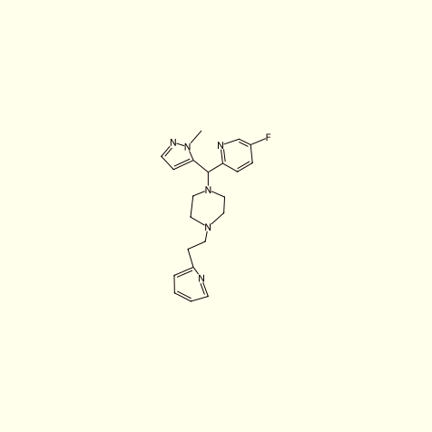 Cn1nccc1C(c1ccc(F)cn1)N1CCN(CCc2ccccn2)CC1